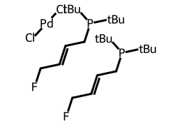 CC(C)(C)P(CC=CCF)C(C)(C)C.CC(C)(C)P(CC=CCF)C(C)(C)C.[Cl][Pd][Cl]